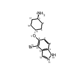 N[C@H]1CC[C@H](Oc2ccc3[nH]ncc3c2Br)CC1